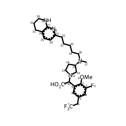 COc1c(F)cc(CC(F)(F)F)cc1C(C(=O)O)N1CC[C@@H](N(C)CCCCCc2ccc3c(n2)NCCC3)C1